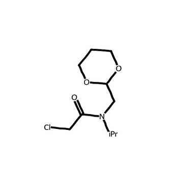 CC(C)N(CC1OCCCO1)C(=O)CCl